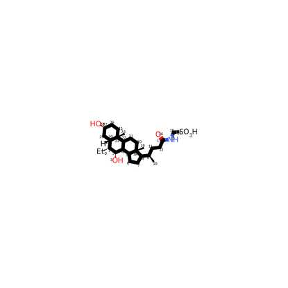 CC[C@H]1[C@@H](O)C2C3CCC([C@H](C)CCC(=O)NCS(=O)(=O)O)[C@@]3(C)CCC2[C@@]2(C)CC[C@@H](O)C[C@@H]12